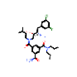 CCCN(CCC)C(=O)c1cc(C(N)=O)cc(C(=O)N(CCC(C)C)C[C@@H](O)[C@@H](N)Cc2cc(Cl)cc(Cl)c2)c1